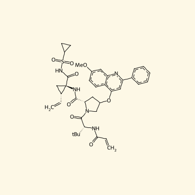 C=CC(=O)N[C@@H](C(=O)N1CC(Oc2cc(-c3ccccc3)nc3cc(OC)ccc23)C[C@H]1C(=O)N[C@]1(C(=O)NS(=O)(=O)C2CC2)C[C@H]1C=C)C(C)(C)C